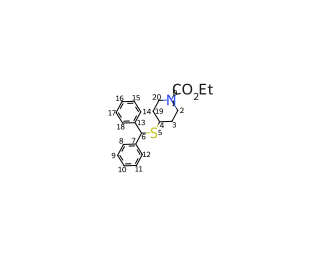 CCOC(=O)N1CCC(SC(c2ccccc2)c2ccccc2)CC1